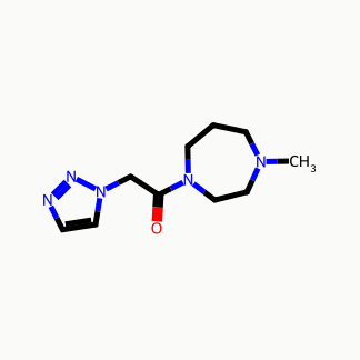 CN1CCCN(C(=O)Cn2ccnn2)CC1